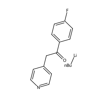 O=C(Cc1ccncc1)c1ccc(F)cc1.[Li][CH2]CCC